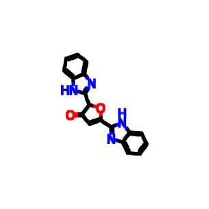 O=C1C=C(c2nc3ccccc3[nH]2)OC1c1nc2ccccc2[nH]1